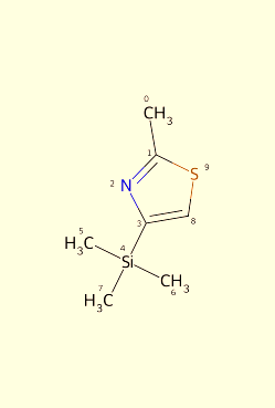 Cc1nc([Si](C)(C)C)cs1